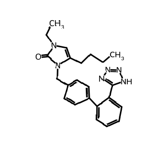 CCCCc1cn(CC)c(=O)n1Cc1ccc(-c2ccccc2-c2nnn[nH]2)cc1